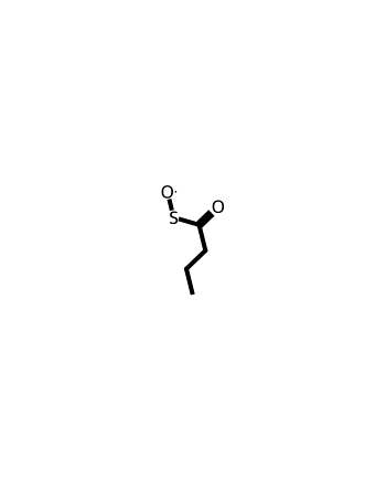 CCCC(=O)S[O]